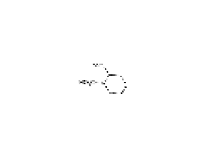 CSC1CCCCN1C(=O)O